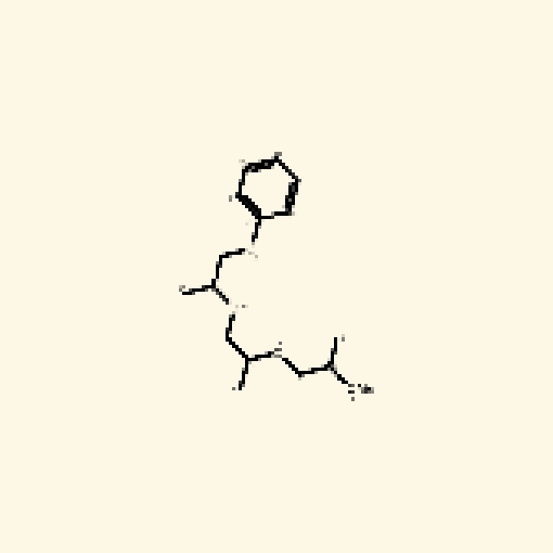 COC(C)COC(C)COC(C)COc1ccccc1